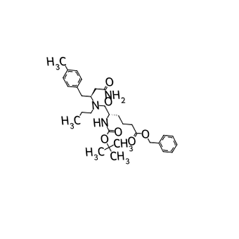 CCCN(C(=O)[C@H](CCCC(=O)OCc1ccccc1)NC(=O)OC(C)(C)C)[C@H](CC(N)=O)Cc1ccc(C)cc1